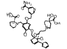 CC1(Cl)C(c2ccccc2)=CC=CC1(COc1cc(OCc2cncc(C(N)=O)c2)c(CN2CCCC[C@H]2C(=O)O)cc1Cl)OCCCN1CCC(CO)(C(=O)O)CC1